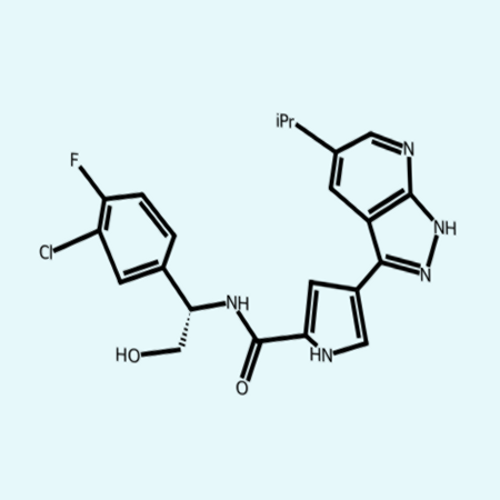 CC(C)c1cnc2[nH]nc(-c3c[nH]c(C(=O)N[C@H](CO)c4ccc(F)c(Cl)c4)c3)c2c1